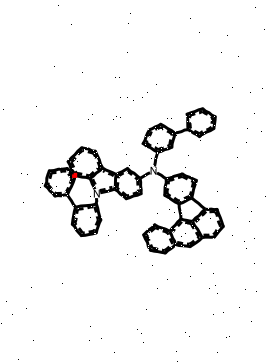 c1ccc(-c2cccc(N(c3ccc4c(c3)-c3c5ccccc5cc5cccc-4c35)c3ccc4c(c3)c3ccccc3n4-c3ccccc3-c3ccccc3)c2)cc1